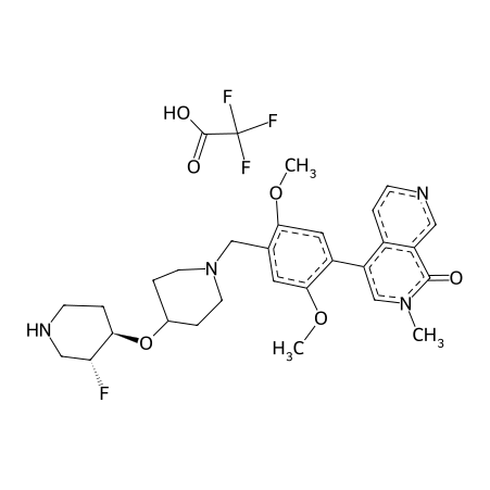 COc1cc(-c2cn(C)c(=O)c3cnccc23)c(OC)cc1CN1CCC(O[C@@H]2CCNC[C@H]2F)CC1.O=C(O)C(F)(F)F